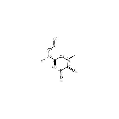 C[C@H](OC=O)C(=O)O[C@@H](C)C(=O)P=O